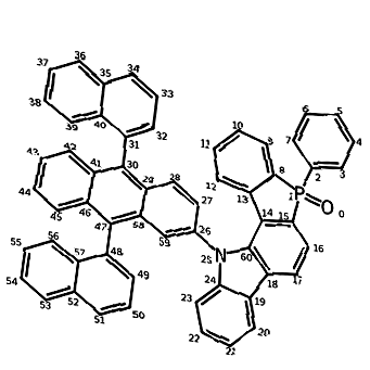 O=P1(c2ccccc2)c2ccccc2-c2c1ccc1c3ccccc3n(-c3ccc4c(-c5cccc6ccccc56)c5ccccc5c(-c5cccc6ccccc56)c4c3)c21